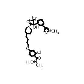 CN(C)C(=O)c1ccc(OCCCCC2CCN(C(=O)C(O)(c3cccc(-c4cnn(C)c4)c3)C(F)(F)F)CC2)cc1Cl